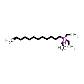 C=CCCCCCCCCCC[PH](CC)(CC)CC